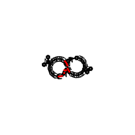 c1ccc(-c2nc(-c3ccccc3)nc(N3CCOCCOCCOc4ccc(cc4)-c4ccc5ccc6ccc(nc6c5n4)C4(c5ccc(cc5)OCCOCCOCC3)c3ccc(cc3)OCCOCCOCCN(c3cccc5c3sc3ccccc35)CCOCCOCCOc3ccc(cc3)-c3ccc5ccc6ccc4nc6c5n3)n2)cc1